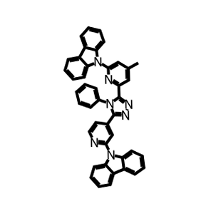 Cc1cc(-c2nnc(-c3ccnc(-n4c5ccccc5c5ccccc54)c3)n2-c2ccccc2)nc(-n2c3ccccc3c3ccccc32)c1